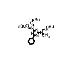 CCCCOCN(C)c1nc(C2CCCCC2)nc(N(COCCCC)COCCCC)n1